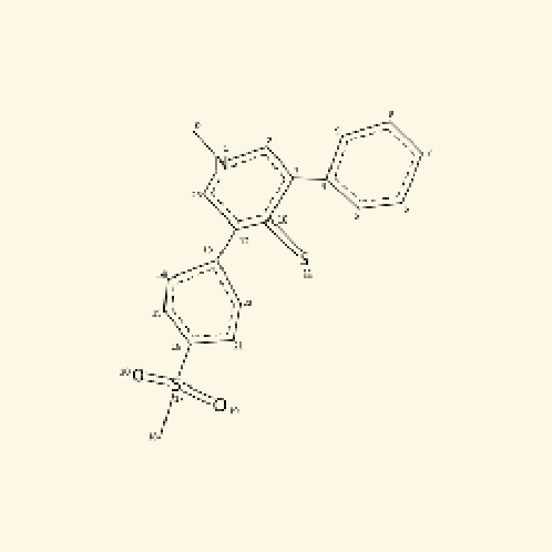 Cn1cc(-c2ccccc2)c(=S)c(-c2ccc(S(C)(=O)=O)cc2)c1